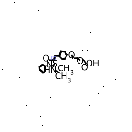 CC(C)NC1S/C(=C\c2ccc(OCCOCC(=O)O)cc2)C(=O)N1c1ccccc1